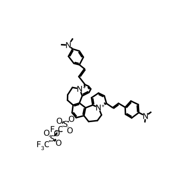 CN(C)c1ccc(/C=C/c2cccc3[n+]2CCCc2ccc4c(c2-3)-c2cccc(/C=C/c3ccc(N(C)C)cc3)[n+]2CCC4)cc1.O=S(=O)([O-])C(F)(F)F.O=S(=O)([O-])C(F)(F)F